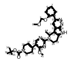 COCOc1ccccc1-c1cc2c3c([nH]c2nn1)CCN(c1ncc(C2=CCN(C(=O)OC(C)(C)C)CC2)c(OC)n1)C3C